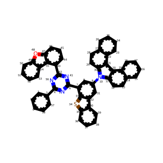 c1ccc(-c2nc(-c3cc(-n4c5ccc6ccccc6c5c5c6ccccc6ccc54)cc4c3sc3ccccc34)nc(-c3cccc4oc5ccccc5c34)n2)cc1